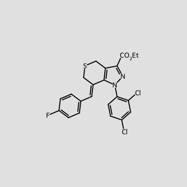 CCOC(=O)c1nn(-c2ccc(Cl)cc2Cl)c2c1CSCC2=Cc1ccc(F)cc1